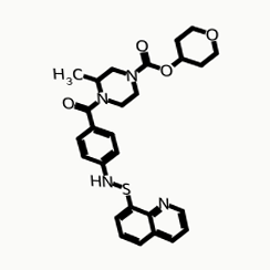 CC1CN(C(=O)OC2CCOCC2)CCN1C(=O)c1ccc(NSc2cccc3cccnc23)cc1